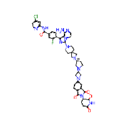 Nc1nccn2c(N3CCC4(CC3)CN([C@@H]3CCN(C5CN(c6ccc7c(c6)C(=O)N(C6CCC(=O)NC6=O)C7=O)C5)C3)C4)nc(-c3ccc(C(=O)Nc4cc(Cl)ccn4)cc3F)c12